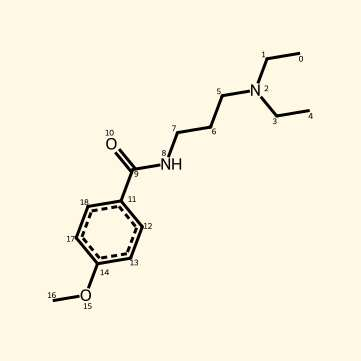 CCN(CC)CCCNC(=O)c1ccc(OC)cc1